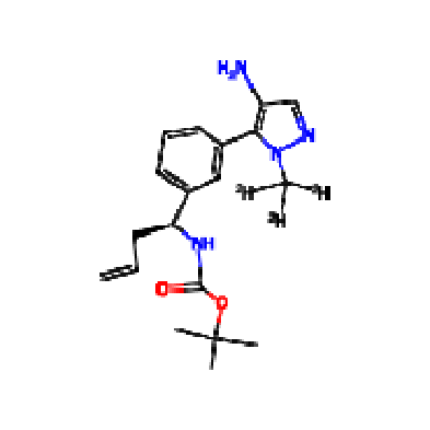 [2H]C([2H])([2H])n1ncc(N)c1-c1cccc([C@H](CC=C)NC(=O)OC(C)(C)C)c1